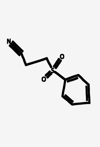 N#CCCS(=O)(=O)c1ccccc1